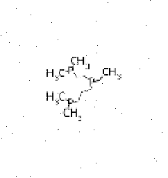 CCP(CCCP(C)C)CCP(C)C